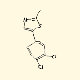 Cc1ncc(-c2ccc(Cl)c(Cl)c2)s1